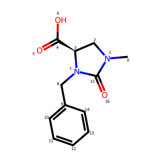 CN1C[C@H](C(=O)O)N(Cc2ccccc2)C1=O